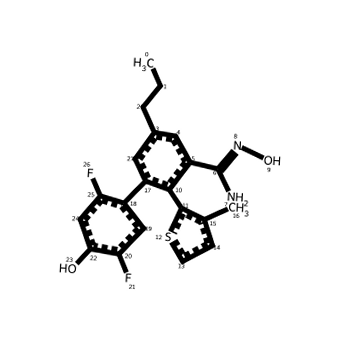 CCCc1cc(/C(N)=N/O)c(-c2sccc2C)c(-c2cc(F)c(O)cc2F)c1